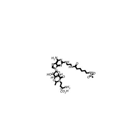 CC1O[C@H]2[C@@H](O)[C@H](n3cnc4c(N)nc(NCCNC(=O)CCCCCNS(C)(=O)=O)nc43)O[C@@H]2C(=O)N1CC[C@H](N)C(=O)O